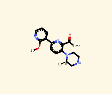 CCOc1ncccc1-c1ccc(N2CCNC[C@H]2CC)c(C(=O)OC)n1